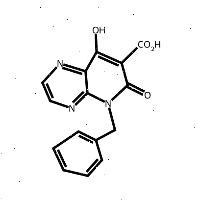 O=C(O)c1c(O)c2nccnc2n(Cc2ccccc2)c1=O